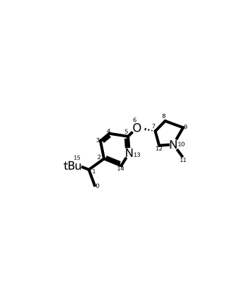 CC(c1ccc(O[C@@H]2CCN(C)C2)nc1)C(C)(C)C